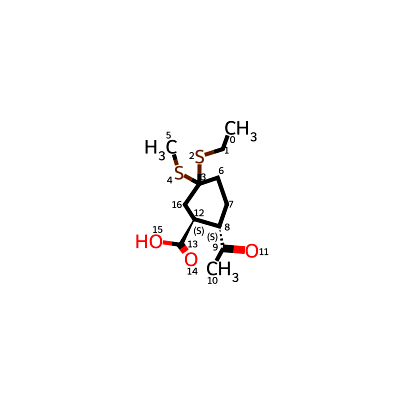 CCSC1(SC)CC[C@H](C(C)=O)[C@@H](C(=O)O)C1